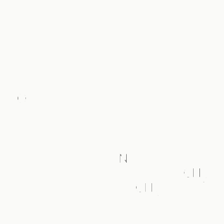 C=CC1Cc2cccc3occ(c23)CN1C